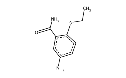 CC[N]c1ccc(N)cc1C(N)=O